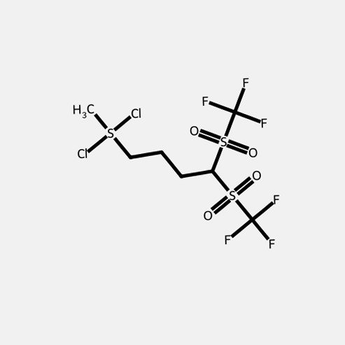 CS(Cl)(Cl)CCCC(S(=O)(=O)C(F)(F)F)S(=O)(=O)C(F)(F)F